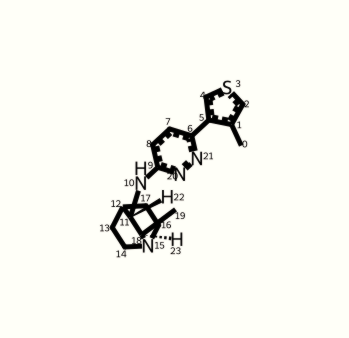 Cc1cscc1-c1ccc(N[C@H]2C3CCN(CC3)[C@@H]2C)nn1